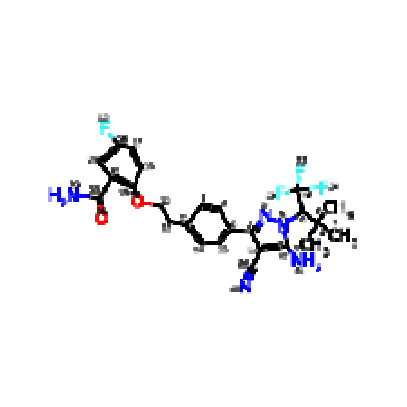 CC(C)(C)C(n1nc(-c2ccc(CCOc3ccc(F)cc3C(N)=O)cc2)c(C#N)c1N)C(F)(F)F